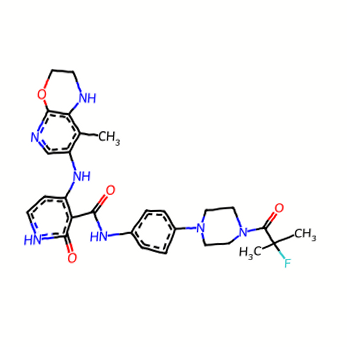 Cc1c(Nc2cc[nH]c(=O)c2C(=O)Nc2ccc(N3CCN(C(=O)C(C)(C)F)CC3)cc2)cnc2c1NCCO2